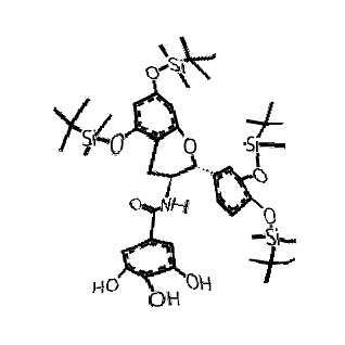 CC(C)(C)[Si](C)(C)Oc1cc2c(c(O[Si](C)(C)C(C)(C)C)c1)C[C@H](NC(=O)c1cc(O)c(O)c(O)c1)[C@@H](c1ccc(O[Si](C)(C)C(C)(C)C)c(O[Si](C)(C)C(C)(C)C)c1)O2